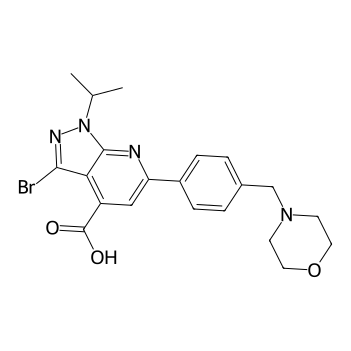 CC(C)n1nc(Br)c2c(C(=O)O)cc(-c3ccc(CN4CCOCC4)cc3)nc21